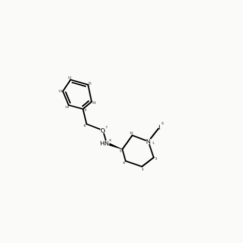 IN1CCC[C@@H](NOCc2ccccc2)C1